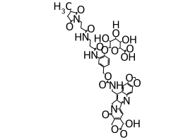 CC1CC(=O)N(CCC(=O)NCCC(=O)Nc2cc(COC(=O)NCc3c4c(nc5cc6c(cc35)OCO6)-c3cc5c(c(=O)n3C4)COC(=O)[C@H]5O)ccc2OC2OC(C(=O)O)C(O)C(O)C2O)C1=O